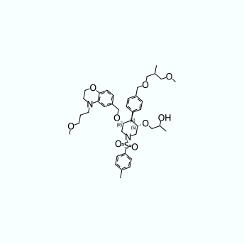 COCCCN1CCOc2ccc(CO[C@H]3CN(S(=O)(=O)c4ccc(C)cc4)C[C@@H](OCC(C)O)[C@@H]3c3ccc(COCC(C)COC)cc3)cc21